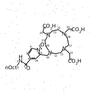 CCCCCCCCNC(=O)c1cc[n+]([O-])c(CN2CCN(CC(=O)O)CCN(CC(=O)O)CCN(CC(=O)O)CC2)c1